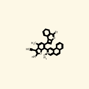 C#CC1=C(CCC)OC2C(c3cc4c(c[n+]3C)C=CC3C=CC=CC43)=C(C3=CC4N=C(CC)C5=C(C=CCC5)C34)C=C(C)C12